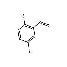 C=[C]c1cc(Br)ccc1F